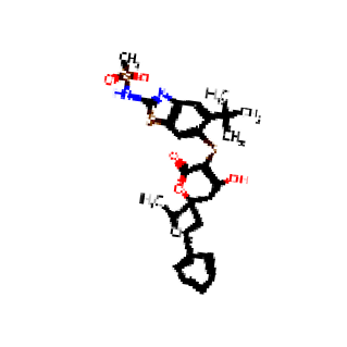 CC(C)C1(CCc2ccccc2)CC(O)=C(Sc2cc3sc(NS(C)(=O)=O)nc3cc2C(C)(C)C)C(=O)O1